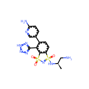 C[C@H](CN)NS1(=O)=NS(=O)(=O)c2c1ccc(-c1ccc(N)nc1)c2-c1nn[nH]n1